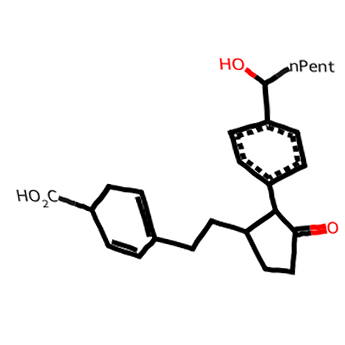 CCCCCC(O)c1ccc(C2C(=O)CCC2CCC2=CCC(C(=O)O)C=C2)cc1